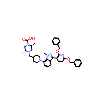 C[C@@H]1CN(C(=O)O)[C@@H](C)CN1CC1CCN(c2cccc3c(-c4ccc(OCc5ccccc5)nc4OCc4ccccc4)nn(C)c23)CC1